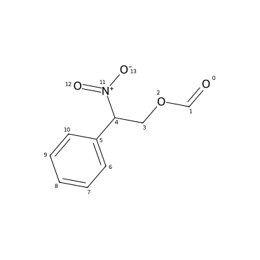 O=COCC(c1ccccc1)[N+](=O)[O-]